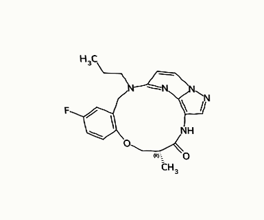 CCCN1Cc2cc(F)ccc2OC[C@@H](C)C(=O)Nc2cnn3ccc1nc23